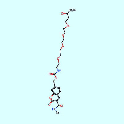 CCNC(=O)c1cc2ccc(COC(=O)NCCOCCOCCOCCOCCC(=O)OC)cc2oc1=O